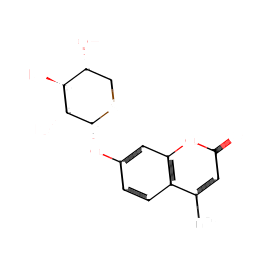 CCCc1cc(=O)oc2cc(O[C@H]3SC[C@@H](O)[C@H](O)[C@H]3O)ccc12